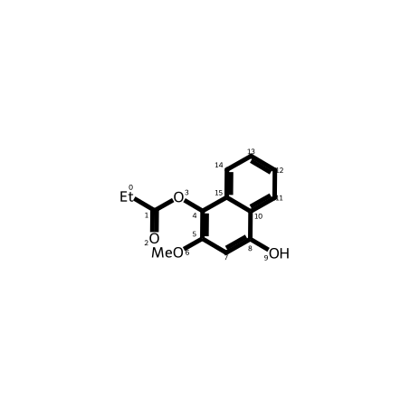 CCC(=O)Oc1c(OC)cc(O)c2ccccc12